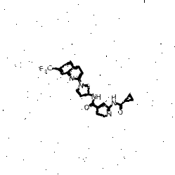 O=C(NC1CCN(c2ccc3ccc(C(F)(F)F)cc3n2)C1)c1ccnc(NC(=O)C2CC2)c1